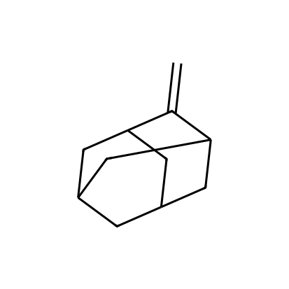 C=C1C2CC3CC(C2)CC1C3